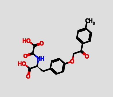 Cc1ccc(C(=O)COc2ccc(C[C@@H](NC(=O)C(=O)O)C(=O)O)cc2)cc1